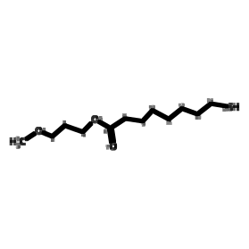 COCCCOC(=O)CCCCCCCS